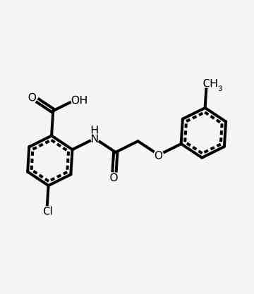 Cc1cccc(OCC(=O)Nc2cc(Cl)ccc2C(=O)O)c1